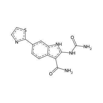 NC(=O)Nc1[nH]c2cc(-c3nccs3)ccc2c1C(N)=O